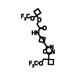 O=C(COC1(OC(F)(F)F)CCC1)NC12CC(c3nnc(C4(COC(F)(F)F)CCC4)o3)(C1)C2